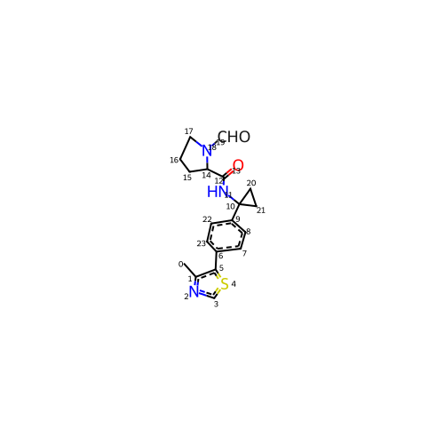 Cc1ncsc1-c1ccc(C2(NC(=O)C3CCCN3C=O)CC2)cc1